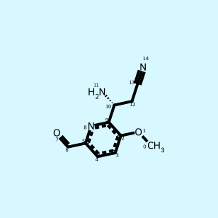 COc1ccc(C=O)nc1[C@H](N)CC#N